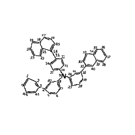 c1ccc(-c2cccc(N(c3ccc(-c4cccc5ccccc45)cc3)c3cccc(-c4ccc5ccccc5c4)c3)c2)cc1